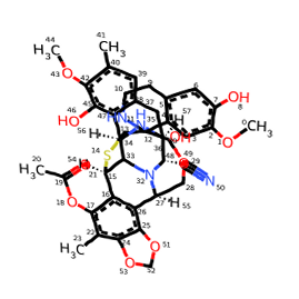 COc1cc2c(cc1O)CCNC21CS[C@@H]2c3c(OC(C)=O)c(C)c4c(c3[C@H](COC1O)N1C2[C@@H]2N[C@@H](Cc3cc(C)c(OC)c(O)c32)[C@@H]1C#N)OCO4